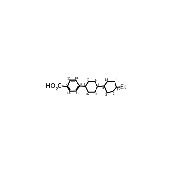 CCC1CCC(C2CCC(c3ccc(C(=O)O)cc3)CC2)CC1